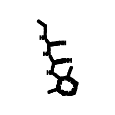 CCNC(=N)NC(=N)Nc1c(C)cccc1C